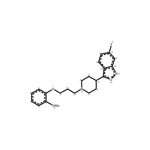 COc1ccc[c]c1OCCCN1CCC(c2onc3cc(F)ccc23)CC1